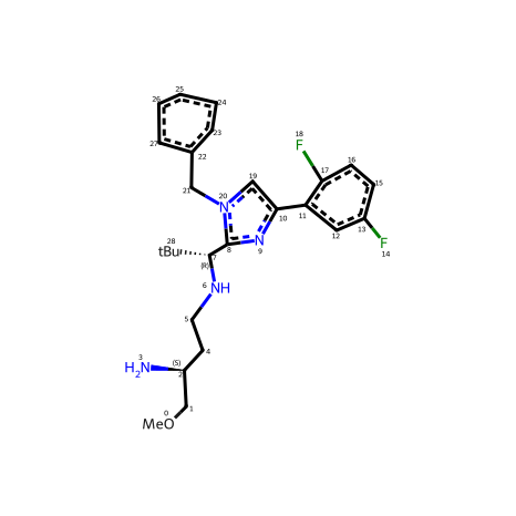 COC[C@@H](N)CCN[C@@H](c1nc(-c2cc(F)ccc2F)cn1Cc1ccccc1)C(C)(C)C